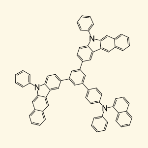 c1ccc(N(c2ccc(-c3cc(-c4ccc5c(c4)c4cc6ccccc6cc4n5-c4ccccc4)cc(-c4ccc5c(c4)c4cc6ccccc6cc4n5-c4ccccc4)c3)cc2)c2cccc3ccccc23)cc1